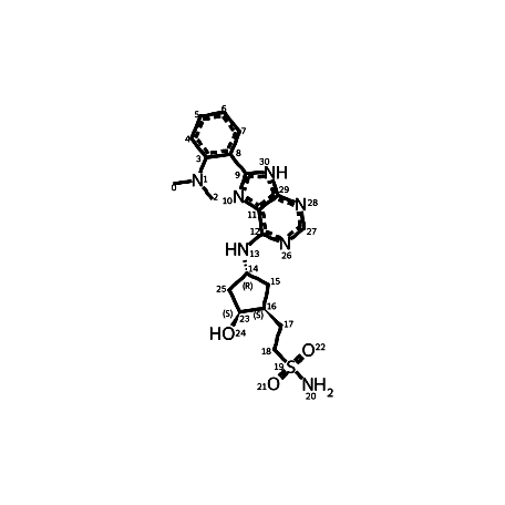 CN(C)c1ccccc1-c1nc2c(N[C@@H]3C[C@@H](CCS(N)(=O)=O)[C@@H](O)C3)ncnc2[nH]1